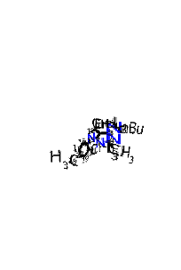 CCCCN(CC)c1nc(C)nc2c1c(C)cn2-c1ccc(C)cc1C